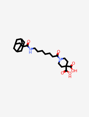 O=C(CCCCCCNC(=O)C12CC3CC(CC(C3)C1)C2)N1CCC(C(=O)O)(C(=O)O)CC1